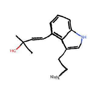 CNCCc1c[nH]c2cccc(/C=C/C(C)(C)O)c12